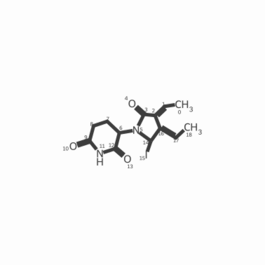 C/C=C1/C(=O)N(C2CCC(=O)NC2=O)C(I)/C1=C/C